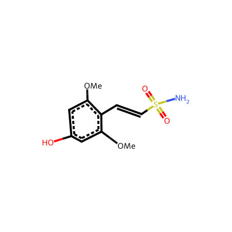 COc1cc(O)cc(OC)c1/C=C/S(N)(=O)=O